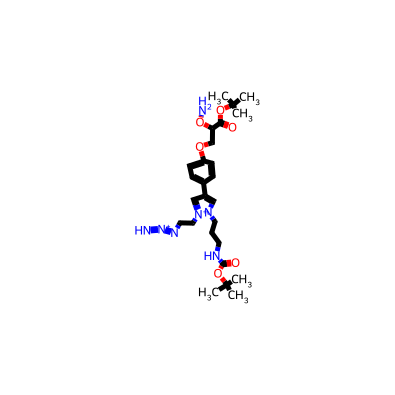 CC(C)(C)OC(=O)NCCCn1cc(-c2ccc(OCC(ON)C(=O)OC(C)(C)C)cc2)c[n+]1CCN=[N+]=N